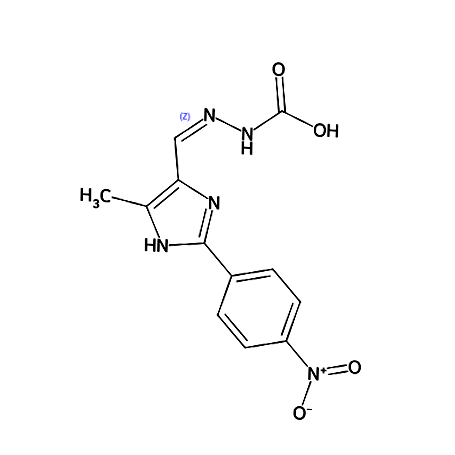 Cc1[nH]c(-c2ccc([N+](=O)[O-])cc2)nc1/C=N\NC(=O)O